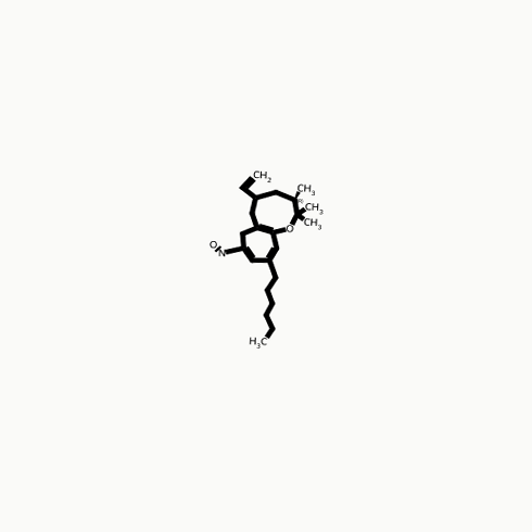 C=CC1CC2=C(C=C(CCCCCC)C=C(N=O)C2)OC(C)(C)[C@H](C)C1